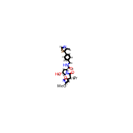 COc1cc([C@H](C(=O)N2C[C@H](O)C[C@H]2C(=O)NCc2ccc(-c3scnc3C)cc2)C(C)C)on1